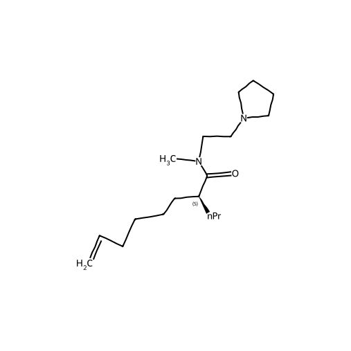 C=CCCCC[C@H](CCC)C(=O)N(C)CCN1CCCC1